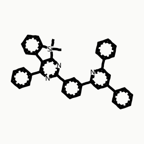 C[Si]1(C)c2ccccc2-c2c(-c3ccccc3)nc(-c3cccc(-c4cc(-c5ccccc5)cc(-c5ccccc5)n4)c3)nc21